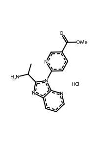 COC(=O)c1ccc(-n2c(C(C)N)nc3cccnc32)nc1.Cl